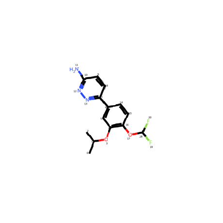 CC(C)Oc1cc(-c2ccc(N)nn2)ccc1OC(F)F